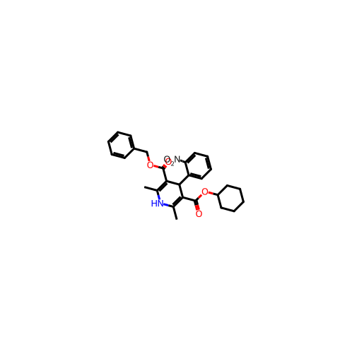 CC1=C(C(=O)OCc2ccccc2)C(c2ccccc2[N+](=O)[O-])C(C(=O)OC2CCCCC2)=C(C)N1